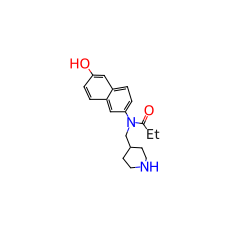 CCC(=O)N(CC1CCNCC1)c1ccc2cc(O)ccc2c1